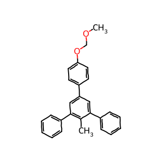 COCOc1ccc(-c2cc(-c3ccccc3)c(C)c(-c3ccccc3)c2)cc1